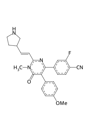 COc1ccc(-c2c(-c3ccc(C#N)c(F)c3)nc(/C=C/C3CCNC3)n(C)c2=O)cc1